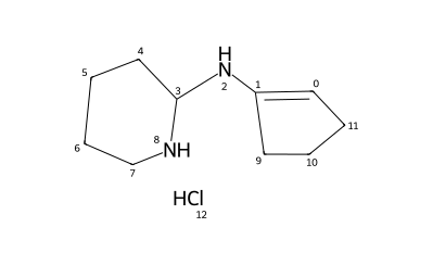 C1=C(NC2CCCCN2)CCC1.Cl